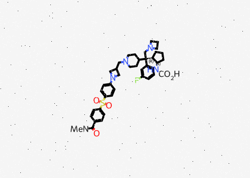 CNC(=O)c1ccc(S(=O)(=O)c2ccc(N3CC(CN4CCC(C(CN5CCC5)(c5cccc(F)c5)[C@H]5CCC[C@@H]5NC(=O)O)CC4)C3)cc2)cc1